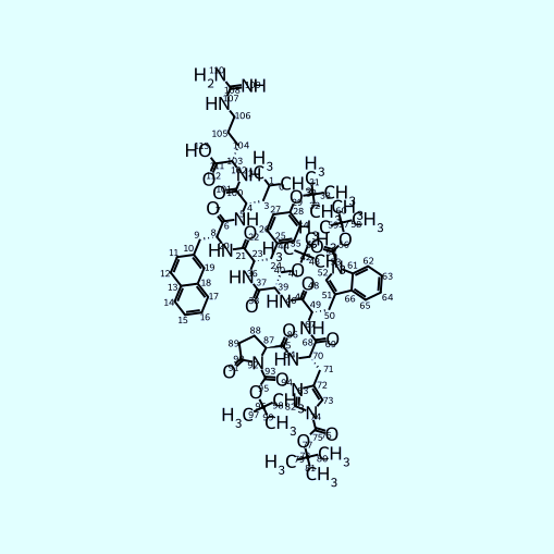 CC(C)C[C@H](NC(=O)[C@@H](Cc1ccc2ccccc2c1)NC(=O)[C@H](Cc1ccc(OC(C)(C)C)cc1)NC(=O)[C@H](COC(C)(C)C)NC(=O)[C@H](Cc1cn(C(=O)OC(C)(C)C)c2ccccc12)NC(=O)[C@H](Cc1cn(C(=O)OC(C)(C)C)cn1)NC(=O)[C@@H]1CCC(=O)N1C(=O)OC(C)(C)C)C(=O)N[C@@H](CCCNC(=N)N)C(=O)O